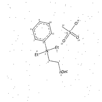 CCCCCCCCCCCC[N+](CC)(CC)c1ccccc1.CS(=O)(=O)[O-]